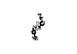 CN(C)C1CN(c2cc(C(=O)Nc3ncc4ccc(-c5cn(C)nn5)cc4n3)ccn2)C1